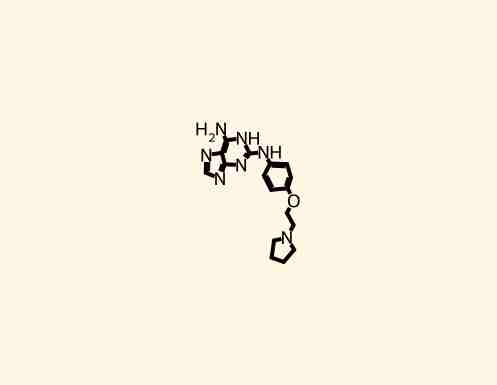 Nc1[nH]c(Nc2ccc(OCCN3CCCC3)cc2)nc2ncnc1-2